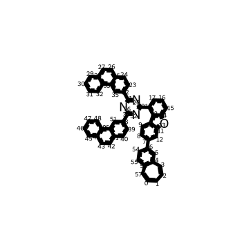 C1=CC=Cc2cc(-c3ccc4c(c3)oc3cccc(-c5nc(-c6ccc7ccc8ccccc8c7c6)nc(-c6ccc7ccc8ccccc8c7c6)n5)c34)ccc2C=1